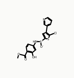 COC(=O)c1ccc(N[S+]([O-])c2cc(-c3cccnc3)c(Cl)s2)cc1O